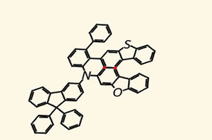 c1ccc(-c2cccc(N(c3ccc4c(c3)-c3ccccc3C4(c3ccccc3)c3ccccc3)c3ccc4c(c3)oc3ccccc34)c2-c2ccc3c(c2)sc2ccccc23)cc1